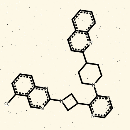 Clc1cccc2nc(N3CC(c4nccnc4N4CCC(c5ccc6ccccc6n5)CC4)C3)ncc12